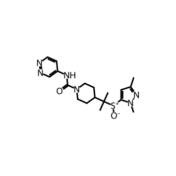 Cc1cc([S+]([O-])C(C)(C)C2CCN(C(=O)Nc3ccnnc3)CC2)n(C)n1